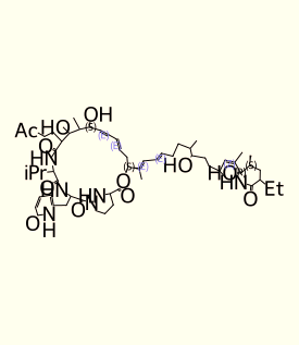 CCC1C[C@H](C)[C@@](O)(/C(C)=C\C(C)CCC(O)C(C)CC/C=C/C=C(\C)[C@@H]2C/C=C/C=C/[C@H](O)C(C)C(O)C(CCC(C)=O)C(=O)NC(C(C)C)C(=O)NC(Cc3cccc(=O)[nH]3)C(=O)N3CCCC(N3)C(=O)O2)NC1=O